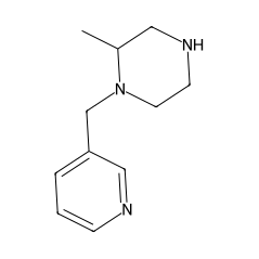 CC1CNCCN1Cc1cccnc1